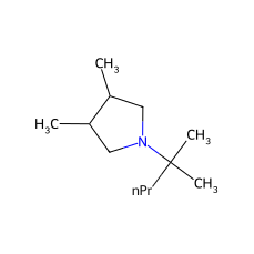 CCCC(C)(C)N1CC(C)C(C)C1